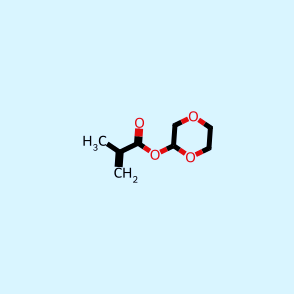 C=C(C)C(=O)OC1COCCO1